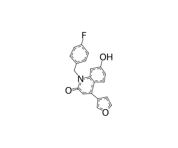 O=c1cc(-c2ccoc2)c2ccc(O)cc2n1Cc1ccc(F)cc1